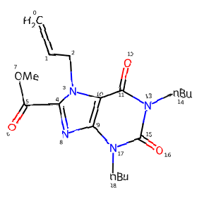 C=CCn1c(C(=O)OC)nc2c1c(=O)n(CCCC)c(=O)n2CCCC